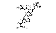 CC(C)[C@H](N)C(=O)N[C@@H](C)C(=O)N1CCC[C@H]1C(=O)N[C@@H](CCCNC(=N)N)C(=O)N[C@@H](Cc1c[nH]cn1)C(=O)O